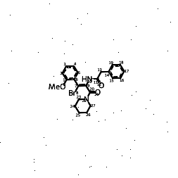 COc1ccccc1C(Br)=C(NC(=O)Cc1ccccc1)C(=O)N1CCCCC1